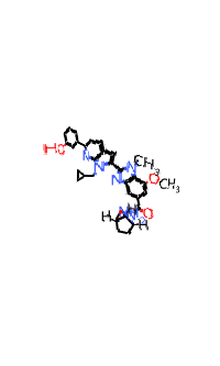 COc1cc(C(=O)N2C[C@H]3CC[C@@H]2[C@@H]3N)cc2nc(-c3cc4ccc(-c5cccc(O)c5)nc4n3CC3CC3)n(C)c12